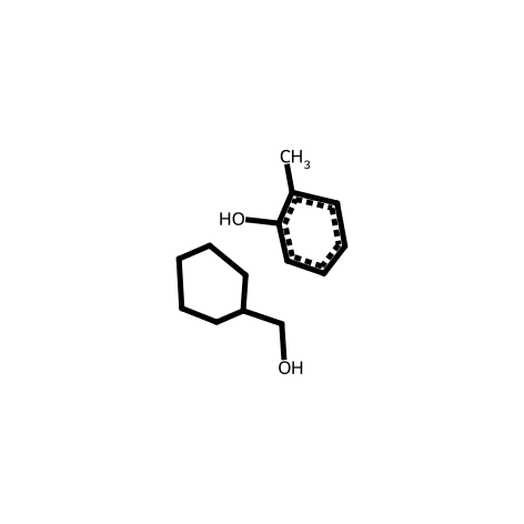 Cc1ccccc1O.OCC1CCCCC1